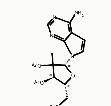 CC(=O)OC[C@H]1O[C@@H](n2ccc3c(N)ncnc32)C(C)(OC(C)=O)[C@@H]1OC(C)=O